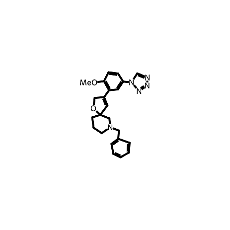 COc1ccc(-n2cnnn2)cc1C1=CC2(CCCN(Cc3ccccc3)C2)OC1